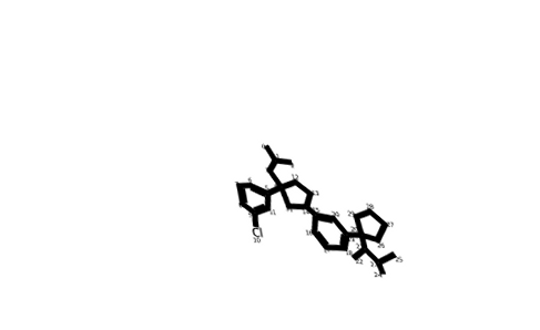 CC(C)CC1(c2cccc(Cl)c2)CCC(c2cccc(C3(C(C)C(C)C)CCCC3)c2)C1